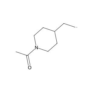 [CH2]CC1CCN(C(C)=O)CC1